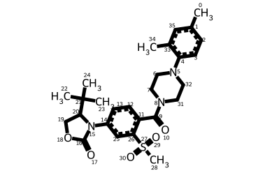 Cc1ccc(N2CCN(C(=O)c3ccc(N4C(=O)OCC4C(C)(C)C)cc3S(C)(=O)=O)CC2)c(C)c1